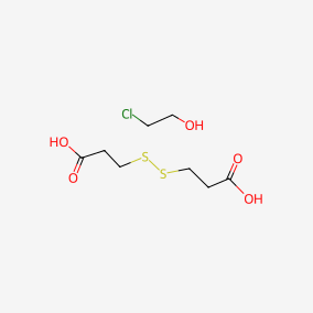 O=C(O)CCSSCCC(=O)O.OCCCl